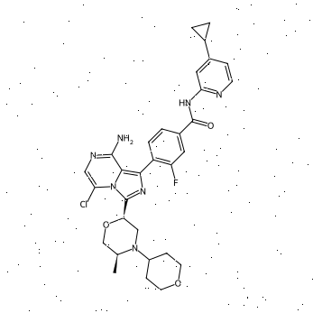 C[C@H]1CO[C@@H](c2nc(-c3ccc(C(=O)Nc4cc(C5CC5)ccn4)cc3F)c3c(N)ncc(Cl)n23)CN1C1CCOCC1